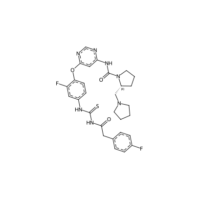 O=C(Cc1ccc(F)cc1)NC(=S)Nc1ccc(Oc2cc(NC(=O)N3CCC[C@@H]3CN3CCCC3)ncn2)c(F)c1